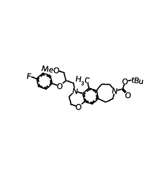 COCC(CN1CCOc2cc3c(c(C)c21)CCN(C(=O)OC(C)(C)C)CC3)Oc1ccc(F)cc1